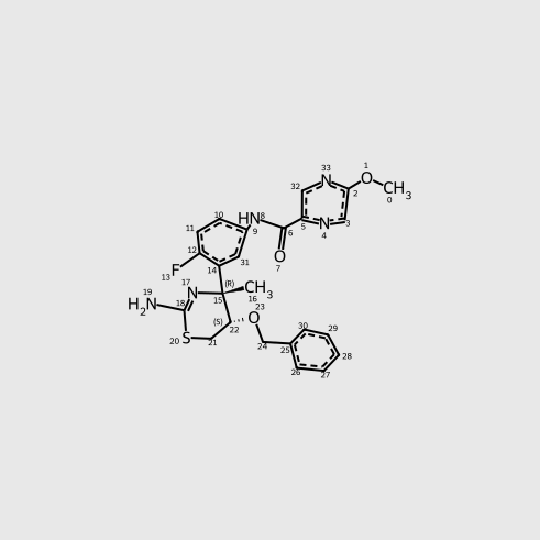 COc1cnc(C(=O)Nc2ccc(F)c([C@@]3(C)N=C(N)SC[C@H]3OCc3ccccc3)c2)cn1